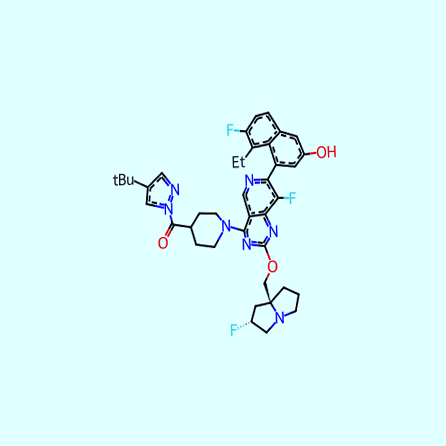 CCc1c(F)ccc2cc(O)cc(-c3ncc4c(N5CCC(C(=O)n6cc(C(C)(C)C)cn6)CC5)nc(OC[C@@]56CCCN5C[C@H](F)C6)nc4c3F)c12